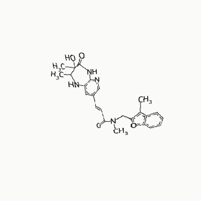 Cc1c(CN(C)C(=O)/C=C/c2cnc3c(c2)NC(C)C(C)(O)C(=O)N3)oc2ccccc12